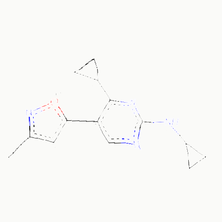 Cc1cc(-c2cnc(NC3CC3)nc2C2CC2)on1